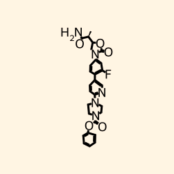 C[C@H](C(N)=O)C1CN(c2ccc(-c3ccc(N4CCN(C(=O)Oc5ccccc5)CC4)nc3)c(F)c2)C(=O)O1